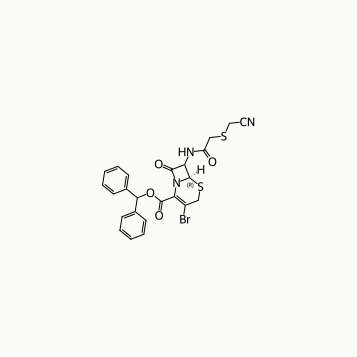 N#CCSCC(=O)NC1C(=O)N2C(C(=O)OC(c3ccccc3)c3ccccc3)=C(Br)CS[C@H]12